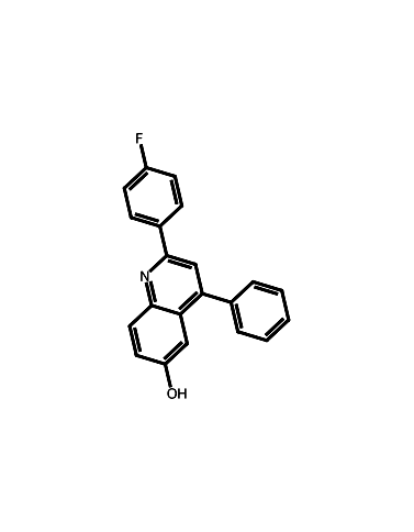 Oc1ccc2nc(-c3ccc(F)cc3)cc(-c3ccccc3)c2c1